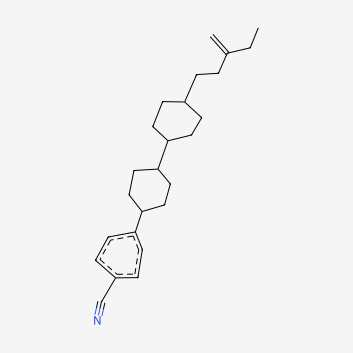 C=C(CC)CCC1CCC(C2CCC(c3ccc(C#N)cc3)CC2)CC1